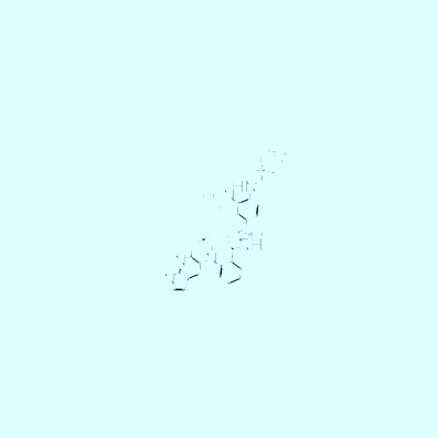 CC1(C)CN(c2ccccc2C(=O)NS(=O)(=O)c2ccc(NCC3(F)CCOCC3)c([N+](=O)[O-])c2)c2cc3cc[nH]c3nc2O1